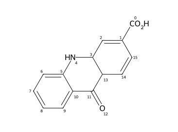 O=C(O)C1=CC2Nc3ccccc3C(=O)C2C=C1